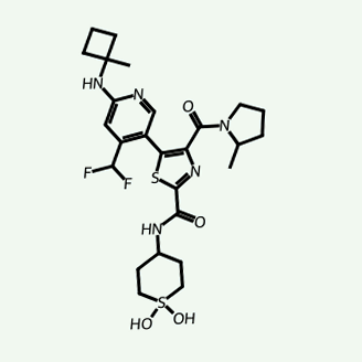 CC1CCCN1C(=O)c1nc(C(=O)NC2CCS(O)(O)CC2)sc1-c1cnc(NC2(C)CCC2)cc1C(F)F